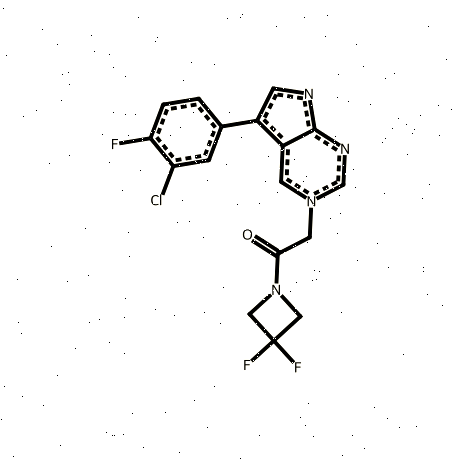 O=C(Cn1cnc2ncc(-c3ccc(F)c(Cl)c3)c-2c1)N1CC(F)(F)C1